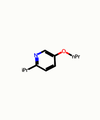 CCCOc1ccc(C(C)C)nc1